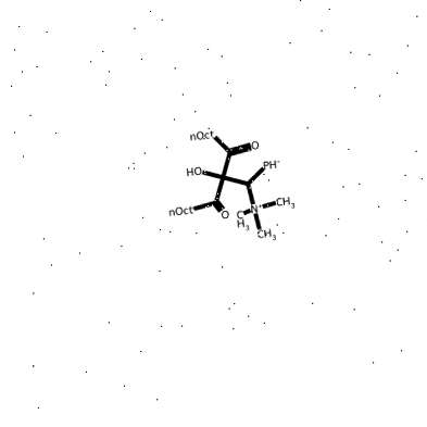 CCCCCCCCC(=O)C(O)(C(=O)CCCCCCCC)C([PH-])[N+](C)(C)C